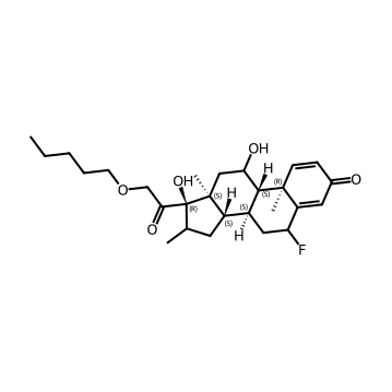 CCCCCOCC(=O)[C@@]1(O)C(C)C[C@H]2[C@@H]3CC(F)C4=CC(=O)C=C[C@]4(C)[C@H]3C(O)C[C@@]21C